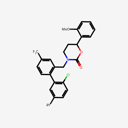 COc1ccccc1C1CCN(Cc2cc(C(F)(F)F)ccc2-c2cc(C(C)C)ccc2Cl)C(=O)O1